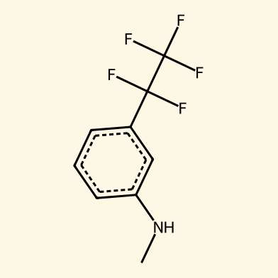 CNc1cccc(C(F)(F)C(F)(F)F)c1